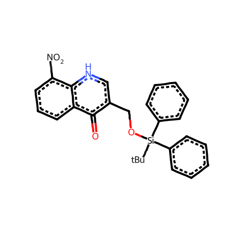 CC(C)(C)[Si](OCc1c[nH]c2c([N+](=O)[O-])cccc2c1=O)(c1ccccc1)c1ccccc1